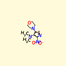 CN(C)c1c([N+](=O)[O-])nsc1N1CCOCC1